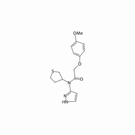 COc1ccc(OCC(=O)N(c2cc[nH]n2)C2CCSC2)cc1